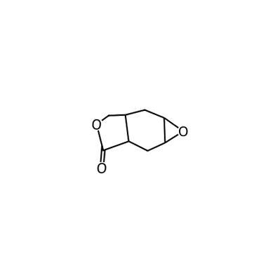 O=C1OCC2CC3OC3CC12